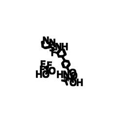 CC(C)[C@H](NC(=O)c1ccc(-c2ccc(Nc3nc4ncccc4s3)c(F)c2)cc1)C(=O)O.O=C(O)C(F)(F)F